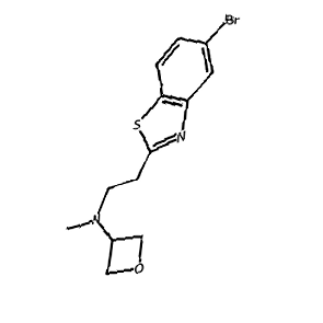 CN(CCc1nc2cc(Br)ccc2s1)C1COC1